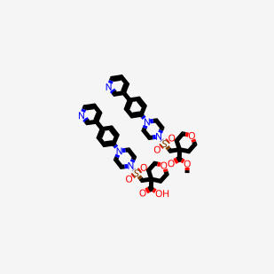 COC(=O)C1(CS(=O)(=O)N2CCN(c3ccc(-c4cccnc4)cc3)CC2)CCOCC1.O=C(O)C1(CS(=O)(=O)N2CCN(c3ccc(-c4cccnc4)cc3)CC2)CCOCC1